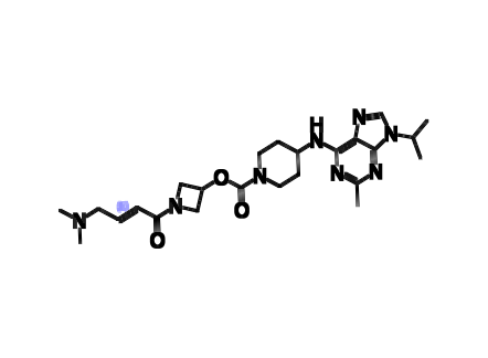 Cc1nc(NC2CCN(C(=O)OC3CN(C(=O)/C=C/CN(C)C)C3)CC2)c2ncn(C(C)C)c2n1